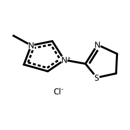 Cn1cc[n+](C2=NCCS2)c1.[Cl-]